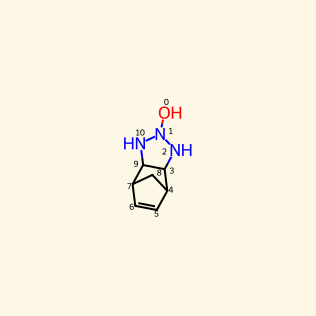 ON1NC2C3C=CC(C3)C2N1